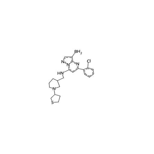 Bc1cnn2c(NCC3CCCN(C4CCSC4)C3)cc(-c3ccccc3Cl)nc12